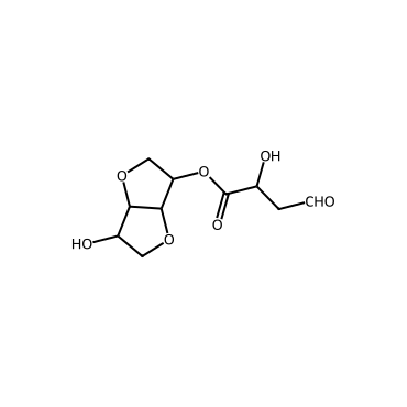 O=CCC(O)C(=O)OC1COC2C(O)COC12